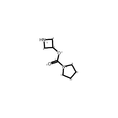 O=C(OC1CNC1)N1CCCC1